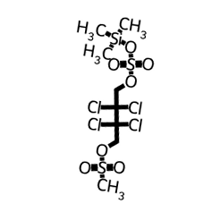 C[Si](C)(C)OS(=O)(=O)OCC(Cl)(Cl)C(Cl)(Cl)COS(C)(=O)=O